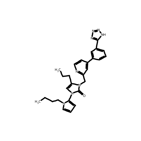 CCCCn1cccc1-n1cc(CCC)n(Cc2cc(-c3cccc(-c4nnn[nH]4)c3)ccn2)c1=O